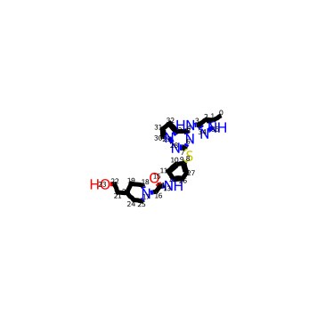 Cc1cc(Nc2nc(Sc3ccc(NC(=O)CN4CCC(CCO)CC4)cc3)nn3cccc23)n[nH]1